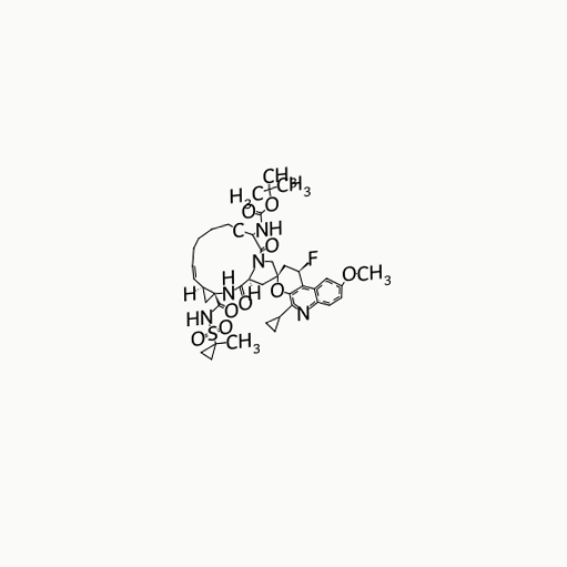 COc1ccc2nc(C3CC3)c3c(c2c1)[C@H](F)C[C@]1(C[C@H]2C(=O)N[C@]4(C(=O)NS(=O)(=O)C5(C)CC5)C[C@H]4/C=C\CCCCC[C@H](NC(=O)OC(C)(C)C)C(=O)N2C1)O3